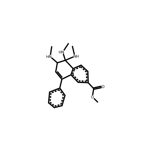 CNC1C=C(c2ccccc2)c2cc(C(=O)OC)ccc2C1(NC)NC